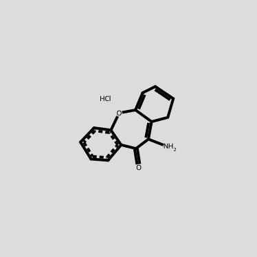 Cl.NC1=C2CC=CC=C2Oc2ccccc2C1=O